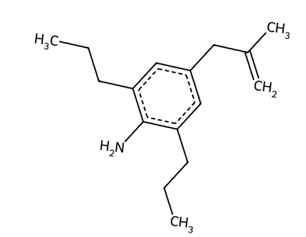 C=C(C)Cc1cc(CCC)c(N)c(CCC)c1